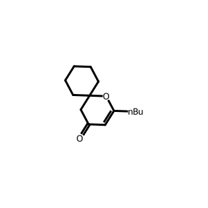 CCCCC1=CC(=O)CC2(CCCCC2)O1